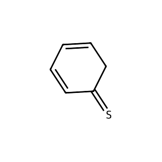 S=C1C=CC=CC1